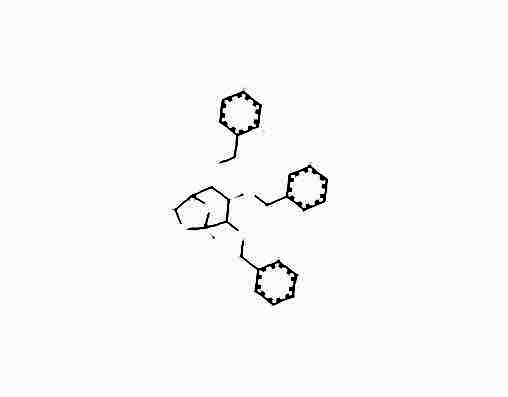 c1ccc(COC2[C@@H]3OCC(O3)[C@H](OCc3ccccc3)[C@H]2OCc2ccccc2)cc1